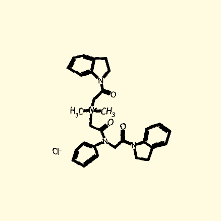 C[N+](C)(CC(=O)N(CC(=O)N1CCc2ccccc21)c1ccccc1)CC(=O)N1CCc2ccccc21.[Cl-]